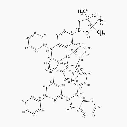 CC1(C)CB(c2ccc3c(c2)C2(c4ccccc4-c4ccccc42)c2cc(-c4cc(-c5ccccc5)cc(-c5nc6ccccc6n5-c5ccccc5)c4)ccc2N3c2ccccc2)OC1(C)C